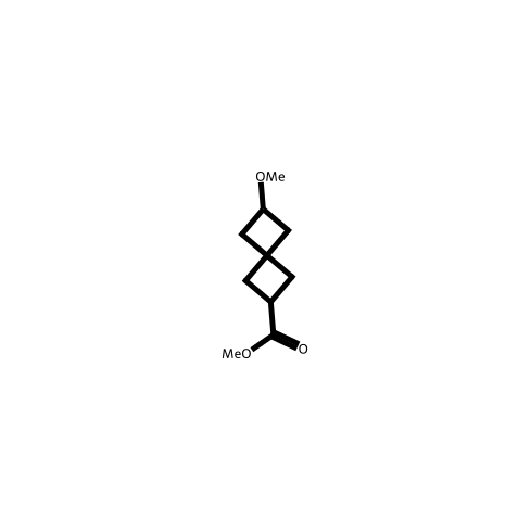 COC(=O)C1CC2(CC(OC)C2)C1